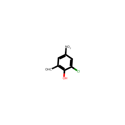 O=Cc1cc([N+](=O)[O-])cc(Cl)c1O